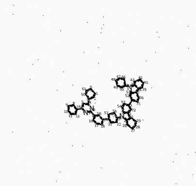 c1ccc(-c2cc(-c3ccccc3)nc(-c3cccc(-c4ccc(-n5c6ccccc6c6cc(-c7ccc8c9ccccc9n(-c9ccccc9)c8c7)ccc65)cc4)c3)n2)cc1